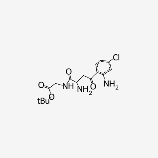 CC(C)(C)OC(=O)CNC(=O)C(N)CC(=O)c1ccc(Cl)cc1N